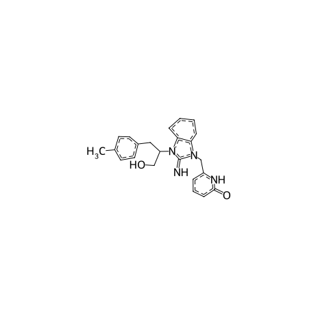 Cc1ccc(CC(CO)n2c(=N)n(Cc3cccc(=O)[nH]3)c3ccccc32)cc1